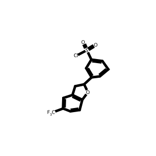 O=S(=O)(Cl)c1cccc(C2Cc3cc(C(F)(F)F)ccc3O2)c1